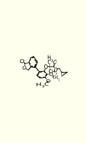 COc1ccc(-c2cccc3c2COC3=O)c(OC(C)(C)C(=O)OCC2CC2)c1OC